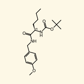 CCCC[C@@H](NC(=O)OC(C)(C)C)C(=O)NCc1ccc(OC)cc1